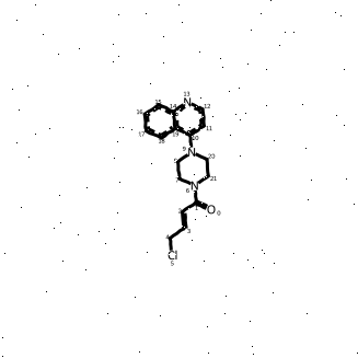 O=C(C=CCCl)N1CCN(c2ccnc3ccccc23)CC1